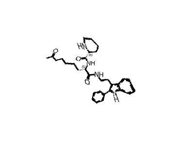 CC(=O)CCCCC[C@H](NC(=O)[C@H]1CCCCN1)C(=O)NCCc1c(-c2ccccc2)[nH]c2ccccc12